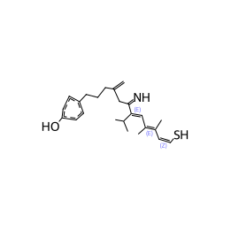 C=C(CCCc1ccc(O)cc1)CC(=N)/C(=C/C(C)=C(C)/C=C\S)C(C)C